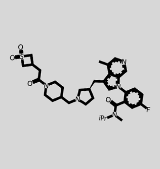 Cc1cncc2c1c(C[C@H]1CCN(CC3CCN(C(=O)CC4CS(=O)(=O)C4)CC3)C1)cn2-c1ccc(F)cc1C(=O)N(C)C(C)C